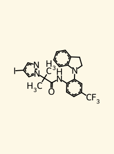 CC(C)(C(=O)Nc1ccc(C(F)(F)F)cc1N1CCc2ccccc21)n1cc(I)cn1